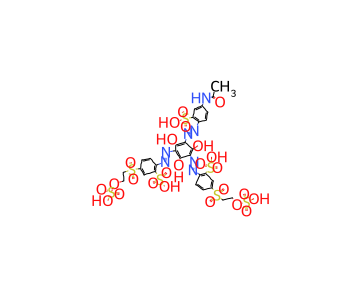 CC(=O)Nc1ccc(/N=N/c2c(O)c(/N=N/c3ccc(S(=O)(=O)CCOS(=O)(=O)O)cc3S(=O)(=O)O)c(O)c(/N=N/c3ccc(S(=O)(=O)CCOS(=O)(=O)O)cc3S(=O)(=O)O)c2O)c(S(=O)(=O)O)c1